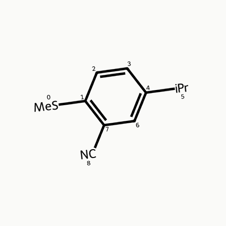 CSc1ccc(C(C)C)cc1C#N